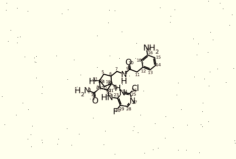 NC(=O)[C@H]1[C@@H]2CC(CNC(=O)Cc3cccc(N)c3)[C@@H](C2)[C@H]1Nc1nc(Cl)ncc1F